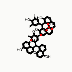 Oc1ccc2cccc(O)c2c1C(c1cc(I)c(O)c(I)c1)c1c(OOc2c(I)cc(C(c3cccc4c(O)ccc(O)c34)c3cccc4c(O)ccc(O)c34)cc2I)ccc2cccc(O)c12